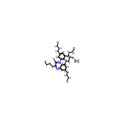 CCCCC(=Nc1cc(CCCC)cc(CCCC)c1)C(C)=Nc1cc(CCCC)cc(CCCC)c1.[Pd]